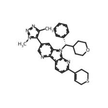 Cc1nnn(C)c1-c1cnc2c3ccc(C4=CCSCC4)nc3n([C@H](c3ccccc3)C3CCOCC3)c2c1